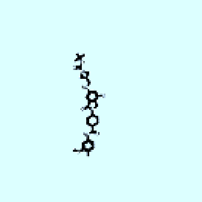 COc1cc(NC(=O)C2CCC(N3Cc4c(Br)cc(NCC5CN(C(=O)OC(C)(C)C)C5)cc4C3=O)CC2)ccc1C